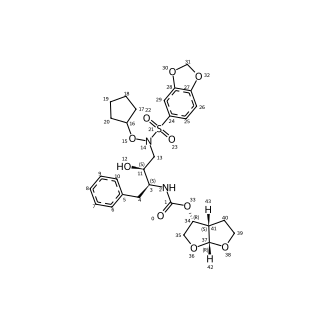 O=C(N[C@@H](Cc1ccccc1)[C@@H](O)CN(OC1CCCC1)S(=O)(=O)c1ccc2c(c1)OCO2)O[C@H]1CO[C@H]2OCC[C@H]21